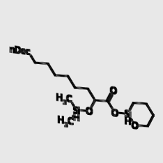 CCCCCCCCCCCCCCCCC(O[SiH](C)C)C(=O)O[SiH]1CCCCO1